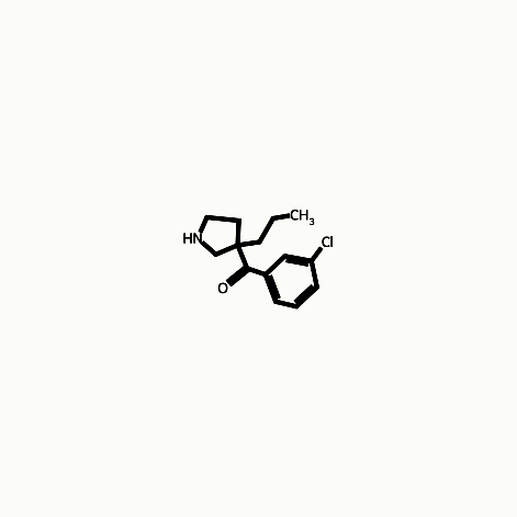 CCCC1(C(=O)c2cccc(Cl)c2)CCNC1